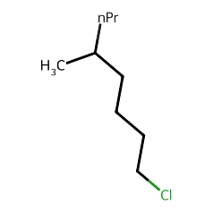 CCCC(C)CCCCCl